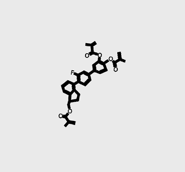 C=C(C)C(=O)OCC1CCc2c(-c3ccc(-c4ccc(OC(=O)C(=C)C)c(OC(=O)C(=C)C)c4)cc3F)cccc21